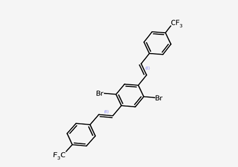 FC(F)(F)c1ccc(/C=C/c2cc(Br)c(/C=C/c3ccc(C(F)(F)F)cc3)cc2Br)cc1